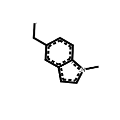 [CH2]Cc1ccc2c(ccn2C)c1